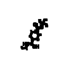 CCNC(O)C1CCN(C(=O)OC(C)(C)C)CC1